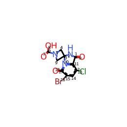 O=C1NC2(CN(C(=O)O)C2)n2c1c(Cl)cc(Br)c2=O